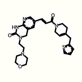 O=C(C=Cc1cnc2c(c1)CN(CCN1CCOCC1)C(=O)N2)N1CC=C(Cc2cccs2)CC1